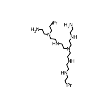 CC(C)CCNCCNCCN(CCNCCN)CCNCCN(CCN)CCC(C)C